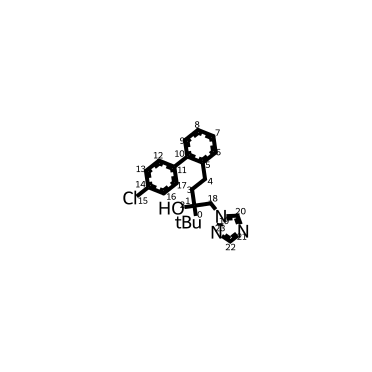 CC(C)(C)C(O)(CCc1ccccc1-c1ccc(Cl)cc1)Cn1cncn1